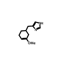 COC1=CCCC(Cc2c[nH]cn2)C1